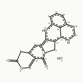 Cl.O=C1Cc2cc3n(c(=O)c2=CO1)Cc1c2[nH]cnc4cccc([nH]c1=3)c4-2